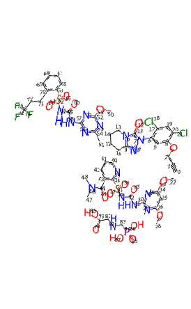 C#CCOc1cc(-n2nc3n(c2=O)CCCC3)c(Cl)cc1Cl.COc1cc(OC)nc(NC(=O)NS(=O)(=O)c2ncccc2C(=O)N(C)C)n1.COc1nc(C)nc(NC(=O)NS(=O)(=O)c2ccccc2CCC(F)(F)F)n1.O=C(O)CNCP(=O)(O)O